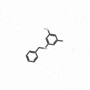 Cc1cc(F)cc(NCc2ccccc2)c1